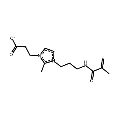 C=C(C)C(=O)NCCCn1cc[n+](CCC(=O)[O-])c1C